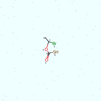 CC(Br)OC(=O)S